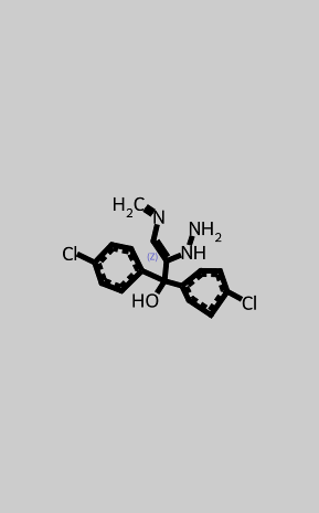 C=N/C=C(\NN)C(O)(c1ccc(Cl)cc1)c1ccc(Cl)cc1